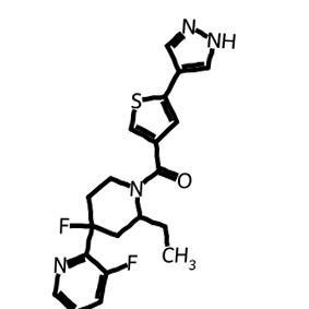 CCC1CC(F)(c2ncccc2F)CCN1C(=O)c1csc(-c2cn[nH]c2)c1